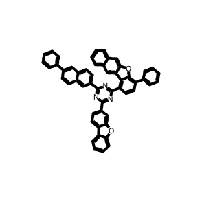 c1ccc(-c2ccc3cc(-c4nc(-c5ccc6c(c5)oc5ccccc56)nc(-c5ccc(-c6ccccc6)c6oc7cc8ccccc8cc7c56)n4)ccc3c2)cc1